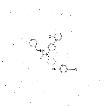 N#Cc1ccc(N[C@H]2CC[C@H](N(C(=O)NCc3ccccc3)c3ccc(-n4ccccc4=O)cc3)CC2)nc1